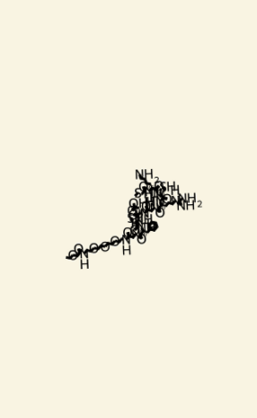 CCOCC(=O)NCCOCCOCCOCCNC(=O)CNC(=O)[C@H](Cc1ccccc1)NC(=O)[C@H](CS)NC(=O)[C@H](CC(=O)O)NC(=O)CNC(=O)[C@H](CCCNC(=N)N)NC(=O)[C@H](CS)NC(=O)[C@H](CCCCN)NC(=O)CSC